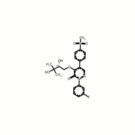 CC(C)(O)[C@H](O)COc1c(-c2ccc(S(C)(=O)=O)cc2)cnn(-c2cccc(F)c2)c1=O